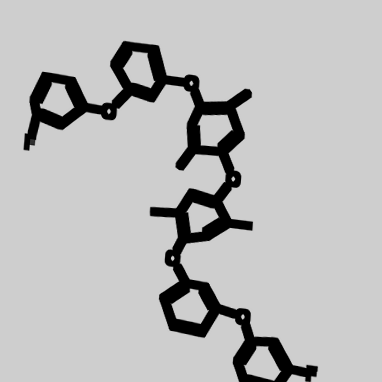 Cc1cc(Oc2cc(C)c(Oc3cccc(Oc4cccc(F)c4)c3)cc2C)c(C)cc1Oc1cccc(Oc2cccc(F)c2)c1